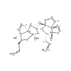 C=CC[C@@H]1C[C@]2(O)C[C@@H](O[C@@]34CCO[C@@]35CC=CC[C@@H]5[C@H](CC=C)C4)O[C@@]23CC=CC[C@H]13